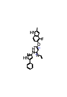 C=C/N=C(\C=C(/C)Oc1ccc2[nH]c(C)cc2c1F)Nc1cc(-c2ccccc2)[nH]n1